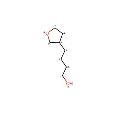 OCCCCC1CCOC1